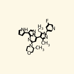 Cc1nn(-c2cncc(F)c2)c(C)c1-c1cc(N2CCOC[C@H]2C)nc2c(-c3ccc[nH]3)cnn12